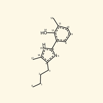 CCCCc1nc(-c2cccc(C)c2O)[nH]c1C